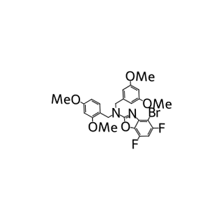 COc1cc(CN(Cc2ccc(OC)cc2OC)c2nc3c(Br)c(F)cc(F)c3o2)cc(OC)c1